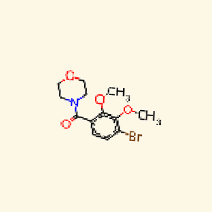 COc1c(Br)ccc(C(=O)N2CCOCC2)c1OC